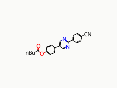 CCCCC(=O)Oc1ccc(-c2cnc(-c3ccc(C#N)cc3)nc2)cc1